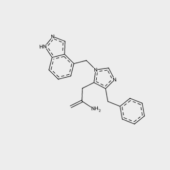 C=C(N)Cc1c(Cc2ccccc2)ncn1Cc1cccc2[nH]ncc12